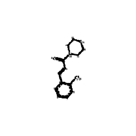 O=C(C=Cc1ccccc1C(F)(F)F)N1CCOCC1